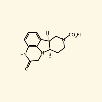 CCOC(=O)N1CC[C@@H]2[C@H](C1)c1cccc3c1N2CC(=O)N3